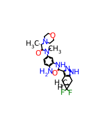 C[C@@H](C(=O)N(C)c1ccc(N)c(NC(=O)c2n[nH]c3c2C[C@@H]2C(F)(F)[C@]2(C)C3)c1)N1CCOCC1